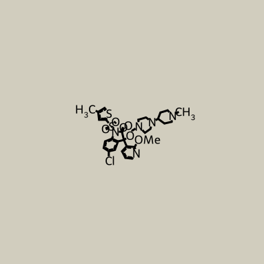 COc1ncccc1C1(OC(=O)N2CCN(C3CCN(C)CC3)CC2)C(=O)N(S(=O)(=O)c2cc(C)cs2)c2ccc(Cl)cc21